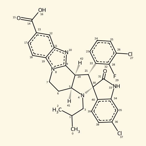 CC(C)CN1[C@H]2CCn3c(nc4cc(C(=O)O)ccc43)[C@H]2[C@H](c2cccc(Cl)c2F)[C@]12C(=O)Nc1cc(Cl)ccc12